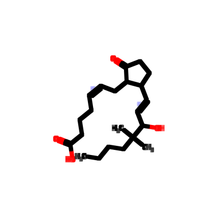 CCCCC(C)(C)C(O)/C=C/C1CCC(=O)C1C/C=C\CCCC(=O)O